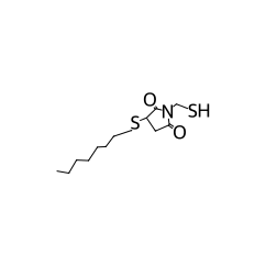 CCCCCCCCSC1CC(=O)N(CS)C1=O